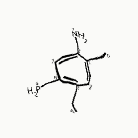 Cc1cc(C)c(P)cc1N